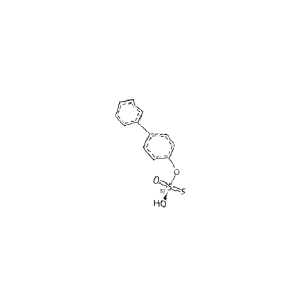 O=[S@@](O)(=S)Oc1ccc(-c2ccccc2)cc1